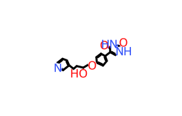 O=c1[nH]cc(-c2ccc(OC[C@H](O)CCc3cccnc3)cc2)c(=O)[nH]1